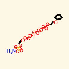 NOS(=O)(=O)O/C=C\OOOOOOOOOOOOCCOc1ccccc1